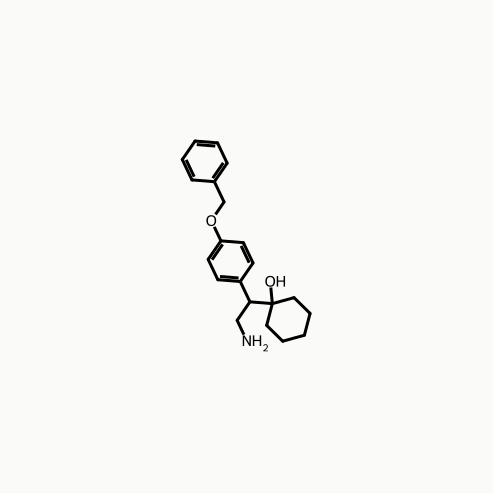 NCC(c1ccc(OCc2ccccc2)cc1)C1(O)CCCCC1